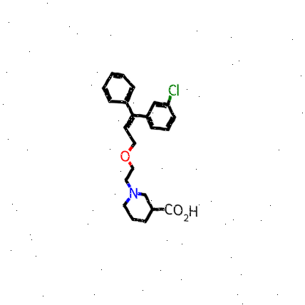 O=C(O)C1CCCN(CCOC/C=C(/c2ccccc2)c2cccc(Cl)c2)C1